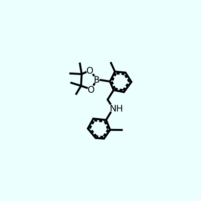 Cc1ccccc1NCc1cccc(C)c1B1OC(C)(C)C(C)(C)O1